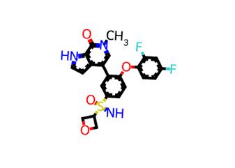 Cn1cc(-c2cc(S(=N)(=O)C3COC3)ccc2Oc2ccc(F)cc2F)c2cc[nH]c2c1=O